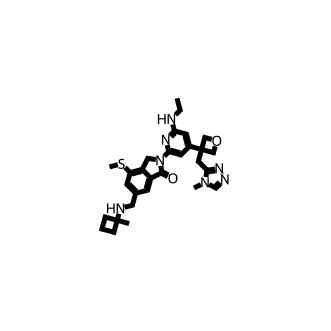 CCNc1cc(C2(Cc3nncn3C)COC2)cc(N2Cc3c(SC)cc(CNC4(C)CCC4)cc3C2=O)n1